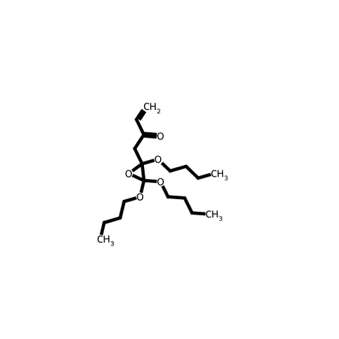 C=CC(=O)CC1(OCCCC)OC1(OCCCC)OCCCC